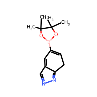 CC1(C)OB(C2=CCC3=NN=CC3=C2)OC1(C)C